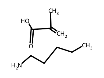 C=C(C)C(=O)O.CCCCCN